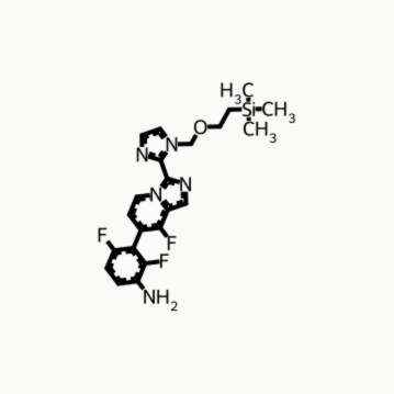 C[Si](C)(C)CCOCn1ccnc1-c1ncc2c(F)c(-c3c(F)ccc(N)c3F)ccn12